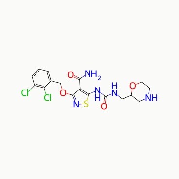 NC(=O)c1c(OCc2cccc(Cl)c2Cl)nsc1NC(=O)NCC1CNCCO1